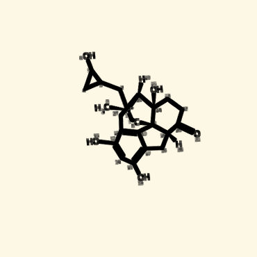 C[N@+]1(CC2CC2O)CC[C@]23c4c5c(O)cc(O)c4C[C@H]2C(=O)CC[C@@]3(O)[C@H]1C5